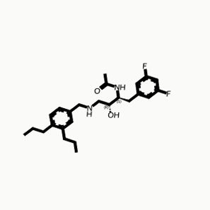 CCCc1ccc(CNC[C@@H](O)[C@H](Cc2cc(F)cc(F)c2)NC(C)=O)cc1CCC